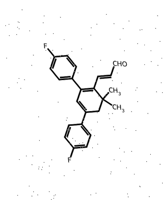 CC1(C)CC(c2ccc(F)cc2)=CC(c2ccc(F)cc2)=C1C=CC=O